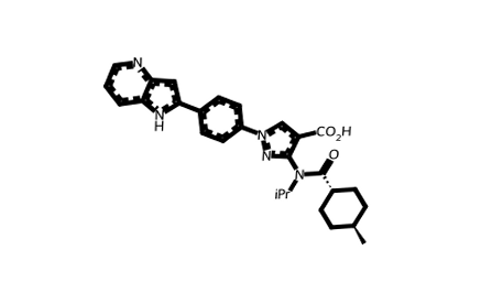 CC(C)N(c1nn(-c2ccc(-c3cc4ncccc4[nH]3)cc2)cc1C(=O)O)C(=O)[C@H]1CC[C@H](C)CC1